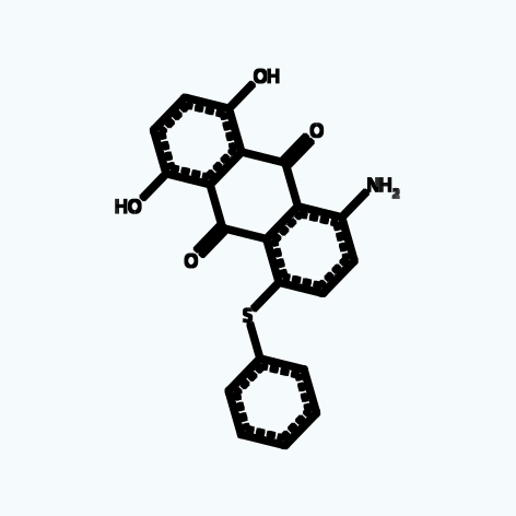 Nc1ccc(Sc2ccccc2)c2c1C(=O)c1c(O)ccc(O)c1C2=O